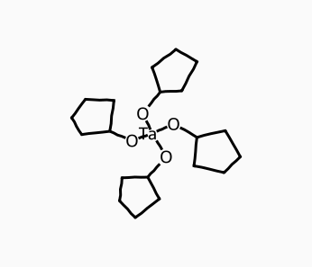 C1CCC([O][Ta]([O]C2CCCC2)([O]C2CCCC2)[O]C2CCCC2)C1